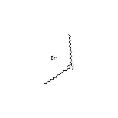 CCCCCCCCCCCCCCCC[P+](CC)(CC)CCCCCCCCCCCCCCCC.[Br-]